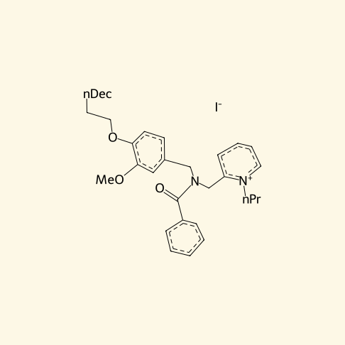 CCCCCCCCCCCCOc1ccc(CN(Cc2cccc[n+]2CCC)C(=O)c2ccccc2)cc1OC.[I-]